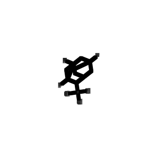 FC12CC3CC(F)(C1)CC(F)(C2)C3[Si](Cl)(Cl)Cl